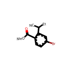 CCC(C#N)c1cc(Br)ccc1C(=O)OC